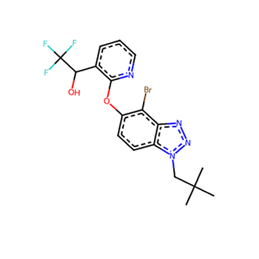 CC(C)(C)Cn1nnc2c(Br)c(Oc3ncccc3C(O)C(F)(F)F)ccc21